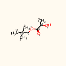 CC(O)C(=O)OC[Si](C)(C)C